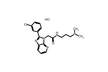 CN(C)CCCNC(=O)Cn1c(-c2cccc(Cl)c2)nc2cccnc21.Cl